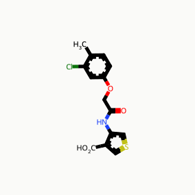 Cc1ccc(OCC(=O)Nc2cscc2C(=O)O)cc1Cl